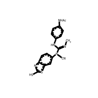 CN=C(Nc1ccc(NC(C)=O)cc1)N(C#N)c1ccc2nc(S)sc2c1